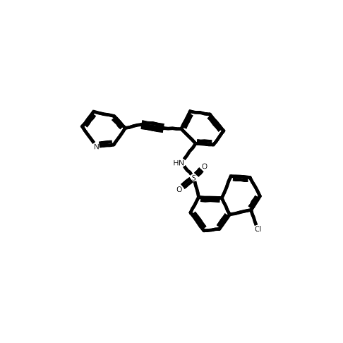 O=S(=O)(Nc1ccccc1C#Cc1cccnc1)c1cccc2c(Cl)cccc12